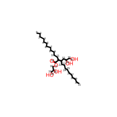 CCCCCCCCCCCCC(C(=O)OCC(O)CO)C(CCCCCCCCCC)CC(O)CO